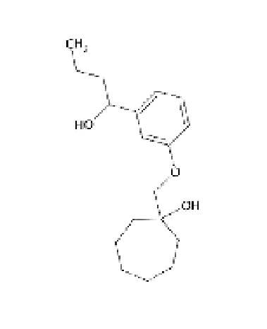 CCCC(O)c1cccc(OCC2(O)CCCCCC2)c1